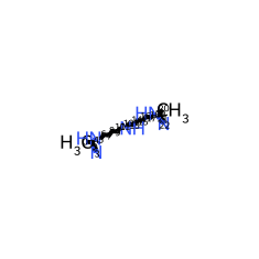 CC(C#N)NCCCCCCNCCCCCCNC(C)C#N